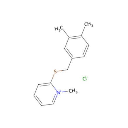 Cc1ccc(CSc2cccc[n+]2C)cc1C.[Cl-]